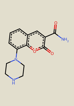 NC(=O)c1cc2cccc(N3CCNCC3)c2oc1=O